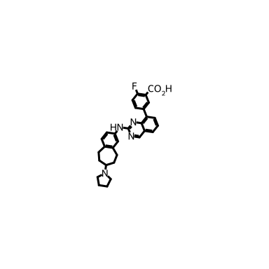 O=C(O)c1cc(-c2cccc3cnc(Nc4ccc5c(c4)CCC(N4CCCC4)CC5)nc23)ccc1F